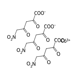 O=C(CC(=O)C(=O)[O-])C[N+](=O)[O-].O=C(CC(=O)C(=O)[O-])C[N+](=O)[O-].O=C(CC(=O)C(=O)[O-])C[N+](=O)[O-].[Co+3]